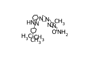 Cc1c(CN2CCN(c3cccc4[nH]c(-c5ccc(C(C)(C)C)cc5)nc34)CC2)ncn1CC(N)=O